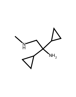 CNCC(N)(C1CC1)C1CC1